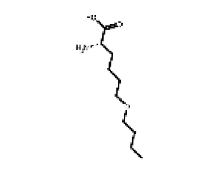 CCCCOCCCC[C@H](N)C(=O)O